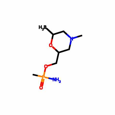 BC1CN(C)CC(COP(C)(N)=O)O1